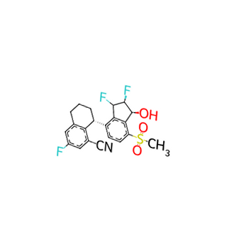 CS(=O)(=O)c1ccc([C@H]2CCCc3cc(F)cc(C#N)c32)c2c1[C@H](O)[C@H](F)C2F